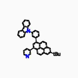 CC(C)(C)c1cc2ccc3c(-c4cccnc4)cc(-c4cccc(-n5c6ccccc6c6ccccc65)c4)c4ccc(c1)c2c34